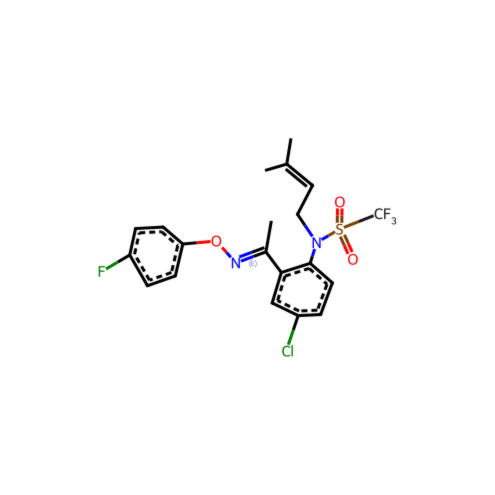 CC(C)=CCN(c1ccc(Cl)cc1/C(C)=N/Oc1ccc(F)cc1)S(=O)(=O)C(F)(F)F